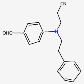 N#CCCN(CCc1ccccc1)c1ccc(C=O)cc1